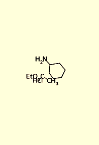 CCOC(C)=O.Cl.NC1CCCCC1